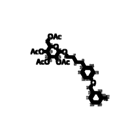 CC(=O)OCC1OC(OCCCCc2ccc(OCc3cccc(F)c3)cc2)C(OC(C)=O)C(OC(C)=O)C1OC(C)=O